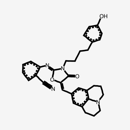 N#Cc1ccccc1/N=C1\O/C(=C/c2cc3c4c(c2)CCCN4CCC3)C(=O)N1CCCCc1ccc(O)cc1